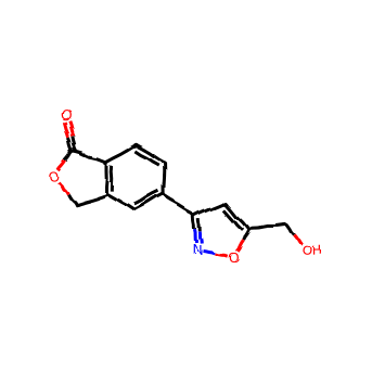 O=C1OCc2cc(-c3cc(CO)on3)ccc21